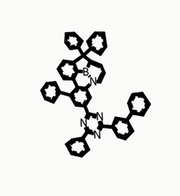 C1=CN2B3C(=C1)C(c1ccccc1)(c1ccccc1)c1cccc(c13)-c1c(-c3ccccc3)cc(-c3nc(-c4ccccc4)nc(-c4cccc(-c5ccccc5)c4)n3)cc12